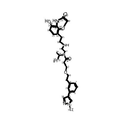 CCn1cc(-c2cccc(CCOCCC(=O)N(CCNCCc3ccc(O)c4c3OCC(=O)N4)C(C)C(C)C)c2)cn1